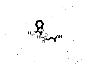 Cc1c(NS(=O)(=O)CCC(=O)O)sc2ccccc12